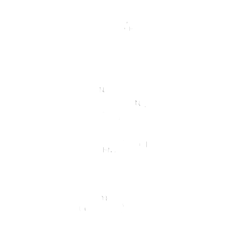 CCN(CC)CCNC(O)c1cnc2cc(C)ccc2n1